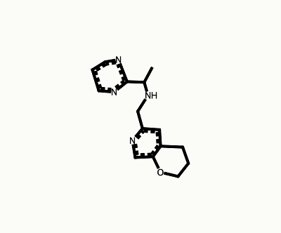 CC(NCc1cc2c(cn1)OCCC2)c1ncccn1